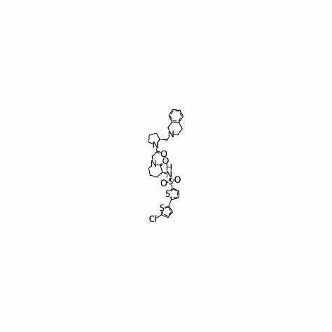 O=C1[C@@H](NS(=O)(=O)c2ccc(-c3ccc(Cl)s3)s2)CCCN1CC(=O)N1CCC[C@H]1CN1CCc2ccccc2C1